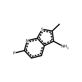 Cc1sc2nc(F)ccc2c1N